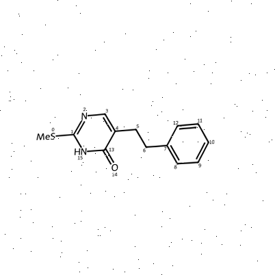 CSc1ncc(CCc2ccccc2)c(=O)[nH]1